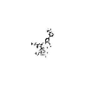 CC(C)CC(C)(COc1ccc(-c2ccnc(C(F)(F)F)n2)cc1C#N)NC(=O)OC(C)(C)C